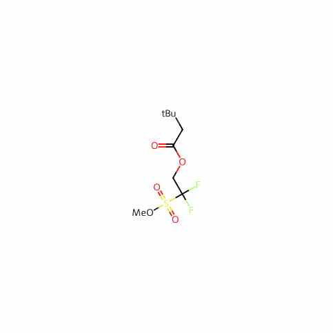 COS(=O)(=O)C(F)(F)COC(=O)CC(C)(C)C